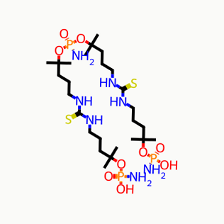 CC(C)(CCCNC(=S)NCCCC(C)(C)OP(N)(=O)OC(C)(C)CCCNC(=S)NCCCC(C)(C)OP(N)(=O)O)OP(N)(=O)O